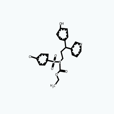 CCOC(=O)N(CCC(c1ccc(O)cc1)c1cccnc1)S(=O)(=O)c1ccc(Cl)cc1